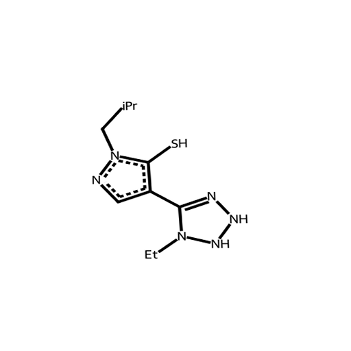 CCN1NNN=C1c1cnn(CC(C)C)c1S